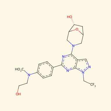 O=C(O)N(CCO)c1ccc(-c2nc(N3CC4C[C@@H](O)C(C3)O4)c3cnn(CC(F)(F)F)c3n2)cc1